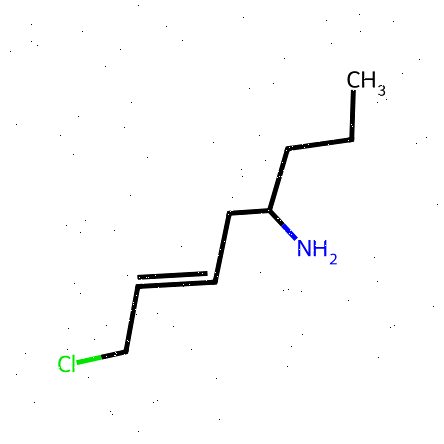 CCCC(N)CC=CCCl